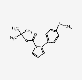 CSc1ccc(-c2cccn2C(=O)OC(C)(C)C)cc1